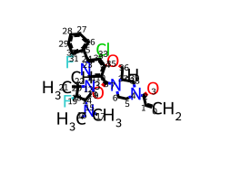 C=CC(=O)N1CCN2C(=O)c3c(N4C[C@@H](N(C)C)C(F)C4(C)C)nc(-c4ccccc4F)c(Cl)c3OC[C@H]2C1